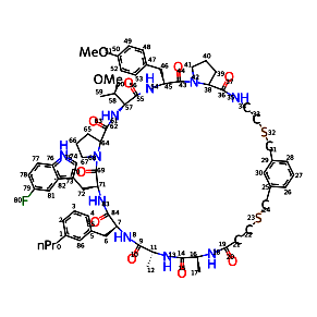 CCCc1cccc(C[C@@H]2NC(=O)[C@@H](C)NC(=O)[C@H](C)NC(=O)CCSCc3cccc(c3)CSCCNC(=O)C3CCCN3C(=O)[C@H](Cc3ccc(OC)cc3)NC(=O)[C@H]([C@@H](C)OC)NC(=O)C3CCCN3C(=O)[C@H](Cc3c[nH]c4ccc(F)cc34)NC2=O)c1